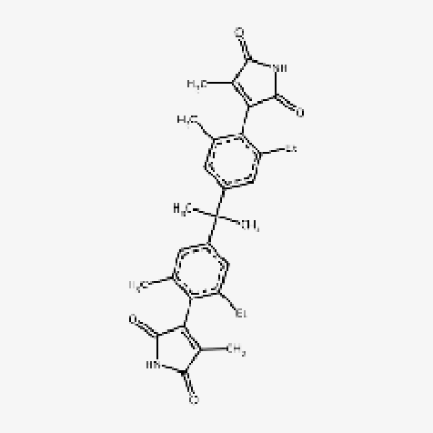 CCc1cc(C(C)(C)c2cc(C)c(C3=C(C)C(=O)NC3=O)c(CC)c2)cc(C)c1C1=C(C)C(=O)NC1=O